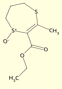 CCOC(=O)C1=C(C)SCCC[S+]1[O-]